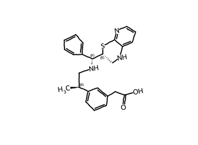 C[C@@H](CN[C@H](c1ccccc1)[C@H]1CNc2cccnc2S1)c1cccc(CC(=O)O)c1